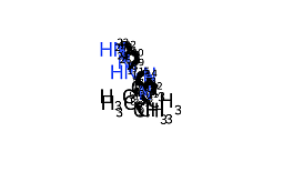 CC(C)[Si](C(C)C)(C(C)C)n1ccc2ncc(Nc3ccc4cc[nH]c4n3)cc21